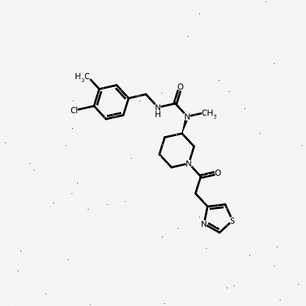 Cc1cc(CNC(=O)N(C)[C@@H]2CCCN(C(=O)Cc3cscn3)C2)ccc1Cl